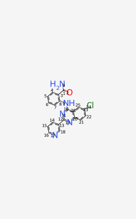 NC(=O)c1ccccc1Nc1nc(-c2cccnc2)nc2ccc(Cl)cc12